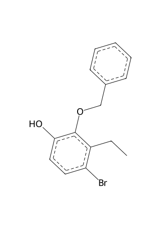 CCc1c(Br)ccc(O)c1OCc1ccccc1